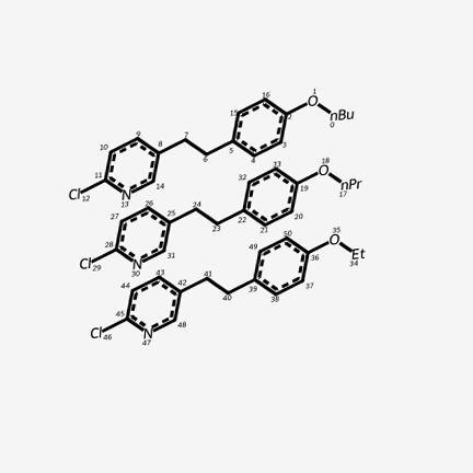 CCCCOc1ccc(CCc2ccc(Cl)nc2)cc1.CCCOc1ccc(CCc2ccc(Cl)nc2)cc1.CCOc1ccc(CCc2ccc(Cl)nc2)cc1